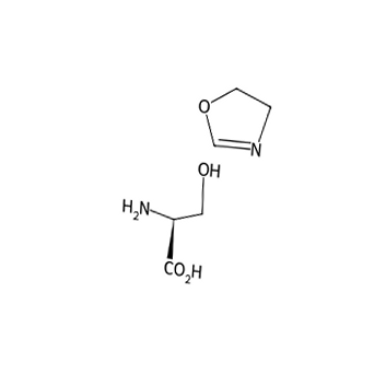 C1=NCCO1.N[C@@H](CO)C(=O)O